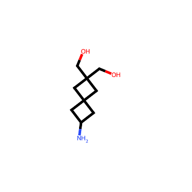 NC1CC2(C1)CC(CO)(CO)C2